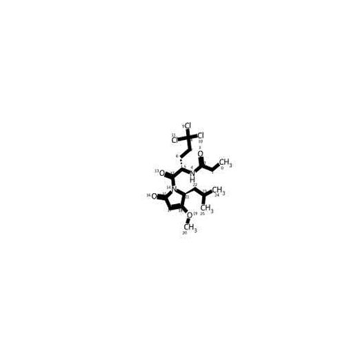 CCC(=O)N[C@@H](CCC(Cl)(Cl)Cl)C(=O)N1C(=O)C=C(OC)[C@@H]1CC(C)C